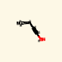 C=CC#CO